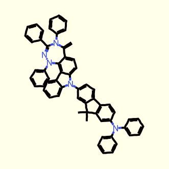 C=C1c2ccc3c(c2N(c2ccccc2)N=C(c2ccccc2)N1c1ccccc1)c1ccccc1n3-c1ccc2c(c1)C(C)(C)c1cc(N(c3ccccc3)c3ccccc3)ccc1-2